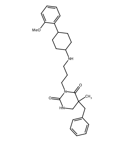 COc1ccccc1C1CCC(NCCCN2C(=O)NCC(C)(Cc3ccccc3)C2=O)CC1